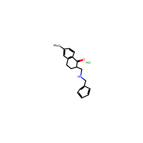 COc1ccc2c(c1)CCC(CNCc1ccccc1)C2=O.Cl